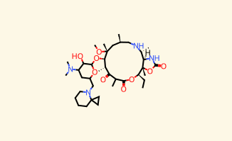 CC[C@H]1OC(=O)C(C)C(=O)[C@H](C)[C@@H](OC2OC(CN3CCCCC34CC4)CC(N(C)C)C2O)[C@](C)(OC)C[C@@H](C)CN[C@H](C)[C@H]2NC(=O)O[C@@]21C